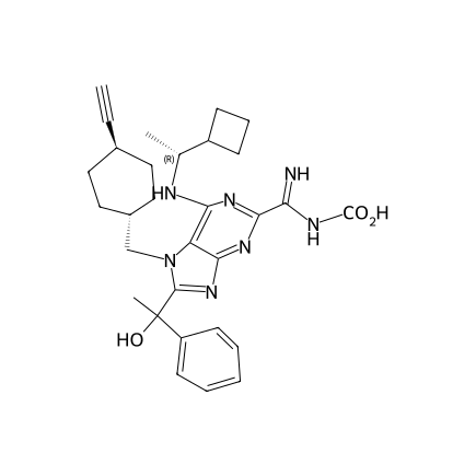 C#C[C@H]1CC[C@H](Cn2c(C(C)(O)c3ccccc3)nc3nc(C(=N)NC(=O)O)nc(N[C@H](C)C4CCC4)c32)CC1